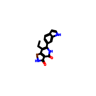 CCc1c(-c2ccc3cc[nH]c3c2)[nH]c(=O)c2c(=O)[nH]sc12